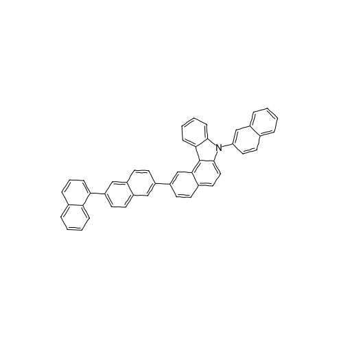 c1ccc2cc(-n3c4ccccc4c4c5cc(-c6ccc7cc(-c8cccc9ccccc89)ccc7c6)ccc5ccc43)ccc2c1